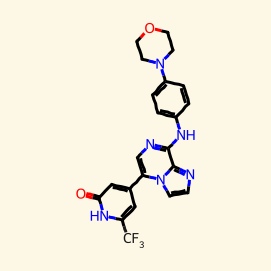 O=c1cc(-c2cnc(Nc3ccc(N4CCOCC4)cc3)c3nccn23)cc(C(F)(F)F)[nH]1